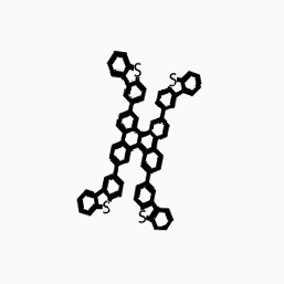 C1=Cc2c(sc3ccc(-c4ccc5c6ccc(-c7ccc8sc9ccccc9c8c7)cc6c6c7cc(-c8ccc9sc%10ccccc%10c9c8)ccc7c7ccc(-c8ccc9sc%10ccccc%10c9c8)cc7c6c5c4)cc23)CC1